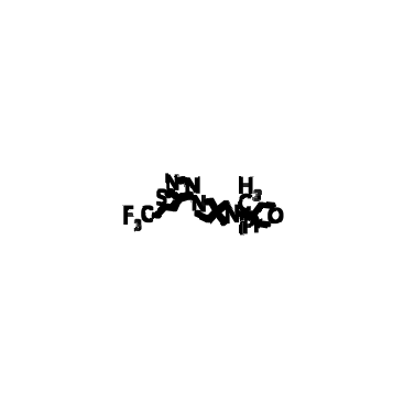 CC(C)C(C)(C1CCOCC1)N1CC2(CCN(c3ncnc4sc(CC(F)(F)F)cc34)C2)C1